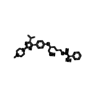 CC(C)c1sc(N2CCN(C)CC2)nc1-c1ccc(OC(CO)CCCONC(=N)c2ccccc2)cc1